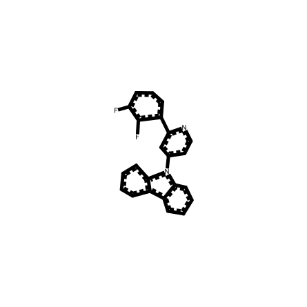 Fc1cccc(-c2cc(-n3c4ccccc4c4ccccc43)ccn2)c1F